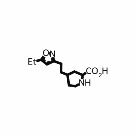 CCc1cc(CCC2CCNC(C(=O)O)C2)no1